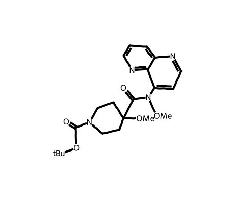 CON(C(=O)C1(OC)CCN(C(=O)OC(C)(C)C)CC1)c1ccnc2cccnc12